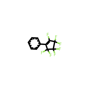 FC1=C(c2ccccc2)C(F)(F)C(F)(F)C1(F)F